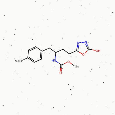 COc1ccc(CC(CCc2nnc(O)o2)NC(=O)OC(C)(C)C)cc1